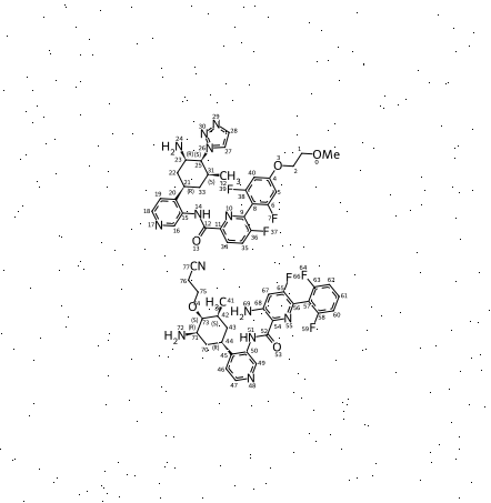 COCCOc1cc(F)c(-c2nc(C(=O)Nc3cnccc3[C@H]3C[C@@H](N)[C@@H](n4ccnn4)[C@@H](C)C3)ccc2F)c(F)c1.C[C@H]1C[C@@H](c2ccncc2NC(=O)c2nc(-c3c(F)cccc3F)c(F)cc2N)C[C@@H](N)[C@H]1OCCC#N